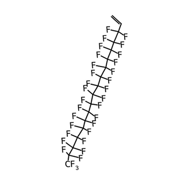 C=CC(F)(F)C(F)(F)C(F)(F)C(F)(F)C(F)(F)C(F)(F)C(F)(F)C(F)(F)C(F)(F)C(F)(F)C(F)(F)C(F)(F)C(F)(F)C(F)(F)C(F)(F)C(F)(F)F